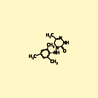 CC1=NNC(=O)N(Nc2c(C)cc(C)cc2C)C1